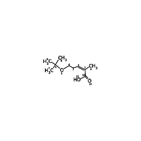 CC(=CCCOC(C)(C)C)C(=O)O